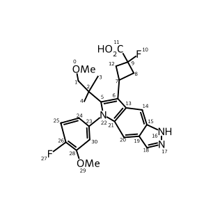 COCC(C)(C)c1c(C2CC(F)(C(=O)O)C2)c2cc3[nH]ncc3cc2n1-c1ccc(F)c(OC)c1